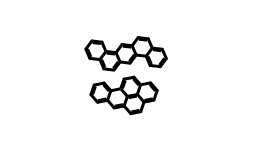 c1ccc2c(c1)cc1ccc3cccc4ccc2c1c34.c1ccc2c(c1)ccc1cc3c(ccc4ccccc43)cc12